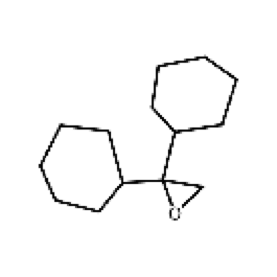 C1CCC(C2(C3CCCCC3)CO2)CC1